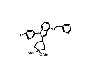 COC1(OC)CCC(c2cc3c(OCc4ccccc4)cccc3n2-c2ccc(F)cc2)CC1